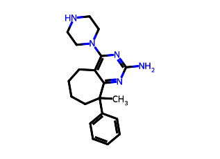 CC1(c2ccccc2)CCCCc2c(N3CCNCC3)nc(N)nc21